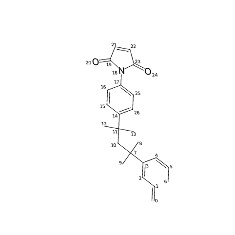 C=C/C=C(\C=C/C)C(C)(C)CC(C)(C)c1ccc(N2C(=O)C=CC2=O)cc1